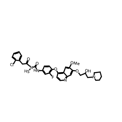 COc1cc2c(Oc3ccc(NC(=O)N(S)C(=O)Cc4ccccc4Cl)cc3F)ccnc2cc1OCC(O)CN1CCCCC1